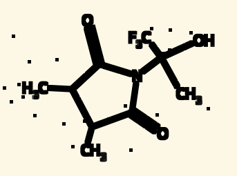 CC1C(=O)N(C(C)(O)C(F)(F)F)C(=O)C1C